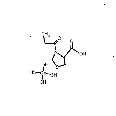 CCC(=O)N1CSCC1C(=O)O.[SH][Ge]([SH])([SH])[SH]